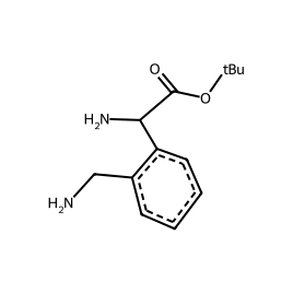 CC(C)(C)OC(=O)C(N)c1ccccc1CN